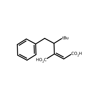 CC(C)(C)C(Cc1ccccc1)/C(=C\C(=O)O)C(=O)O